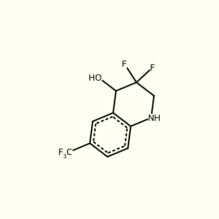 OC1c2cc(C(F)(F)F)ccc2NCC1(F)F